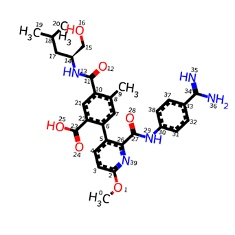 COc1ccc(-c2cc(C)c(C(=O)N[C@H](CO)CC(C)C)cc2C(=O)O)c(C(=O)Nc2ccc(C(=N)N)cc2)n1